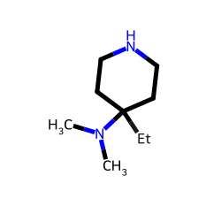 CCC1(N(C)C)CCNCC1